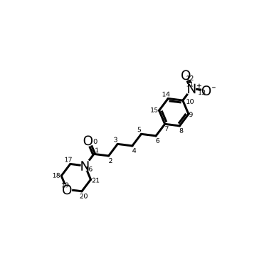 O=C(CCCCCc1ccc([N+](=O)[O-])cc1)N1CCOCC1